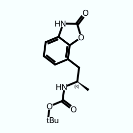 C[C@H](Cc1cccc2[nH]c(=O)oc12)NC(=O)OC(C)(C)C